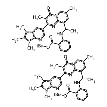 Cc1cc(C(C)Nc2ccccc2C(=O)OC(C)(C)C)c2nc(-c3cnc4c(c3)c(C)c(C)n4C)c(C)c(=O)n2c1.Cc1cc([C@H](C)Nc2ccccc2C(=O)OC(C)(C)C)c2nc(-c3cnc4c(c3)c(C)c(C)n4C)c(C)c(=O)n2c1